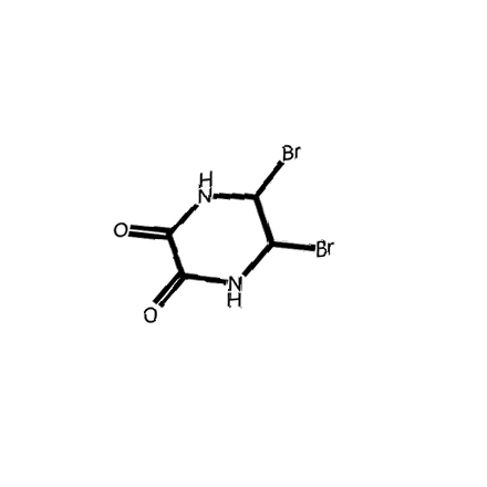 O=C1NC(Br)C(Br)NC1=O